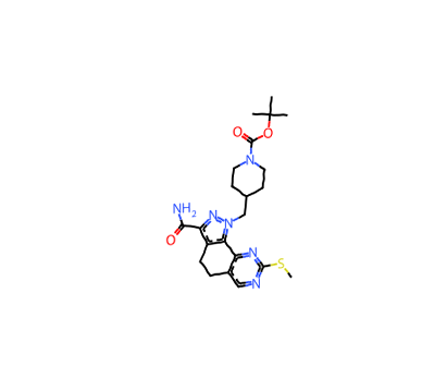 CSc1ncc2c(n1)-c1c(c(C(N)=O)nn1CC1CCN(C(=O)OC(C)(C)C)CC1)CC2